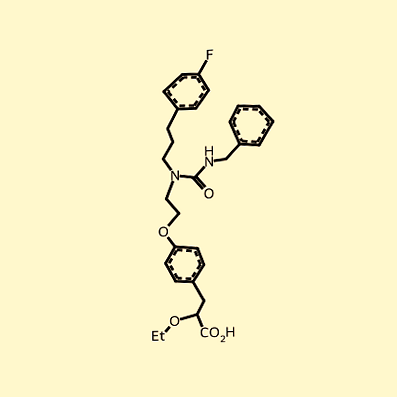 CCOC(Cc1ccc(OCCN(CCCc2ccc(F)cc2)C(=O)NCc2ccccc2)cc1)C(=O)O